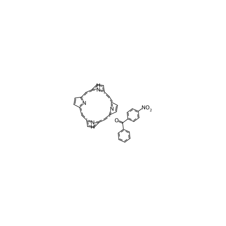 C1=Cc2cc3ccc(cc4nc(cc5ccc(cc1n2)[nH]5)C=C4)[nH]3.O=C(c1ccccc1)c1ccc([N+](=O)[O-])cc1